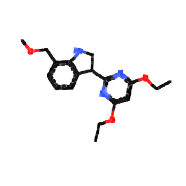 CCOc1cc(OCC)nc(C2CNc3c(COC)cccc32)n1